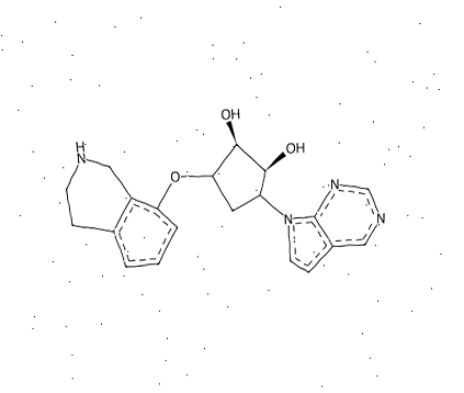 O[C@@H]1C(Oc2cccc3c2CNCC3)CC(n2ccc3cncnc32)[C@@H]1O